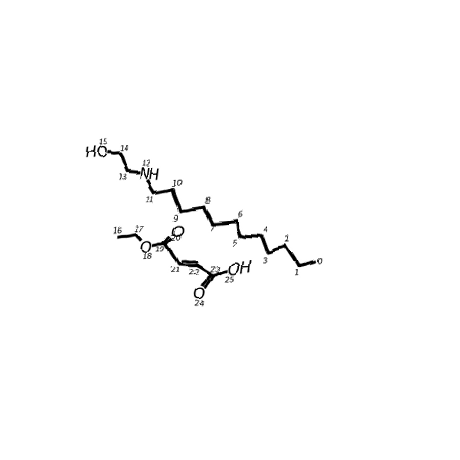 CCCCCCCCCCCCNCCO.CCOC(=O)C=CC(=O)O